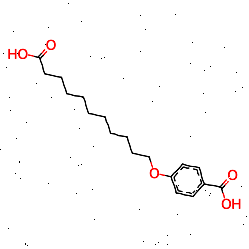 O=C(O)CCCCCCCCCCOc1ccc(C(=O)O)cc1